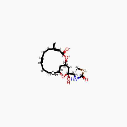 CC1=CC(=O)O[C@@H]2C[C@@H](CCCC=CCC1)O[C@@](O)([C@@H]1CSC(=O)N1)C2